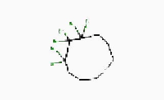 BrC1(Br)CCCCCCCC(Br)(Br)C1(Br)Br